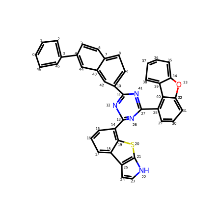 c1ccc(-c2ccc3ccc(-c4nc(-c5cccc6c5sc5[nH]ccc56)nc(-c5cccc6oc7ccccc7c56)n4)cc3c2)cc1